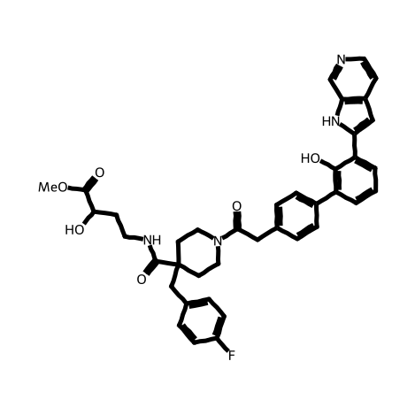 COC(=O)C(O)CCNC(=O)C1(Cc2ccc(F)cc2)CCN(C(=O)Cc2ccc(-c3cccc(-c4cc5ccncc5[nH]4)c3O)cc2)CC1